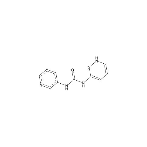 O=C(NC1=CC=CNS1)Nc1cccnc1